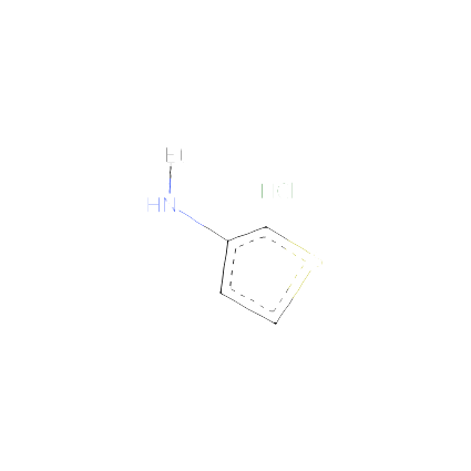 CCNc1ccsc1.Cl